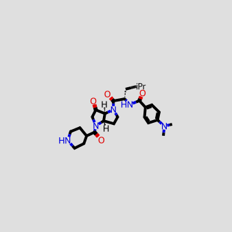 CC(C)C[C@H](NC(=O)c1ccc(N(C)C)cc1)C(=O)N1CC[C@@H]2[C@H]1C(=O)CN2C(=O)C1CCNCC1